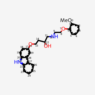 COc1ccccc1OCCNCC(O)CCOc1ccc2[nH]c3ccccc3c2c1